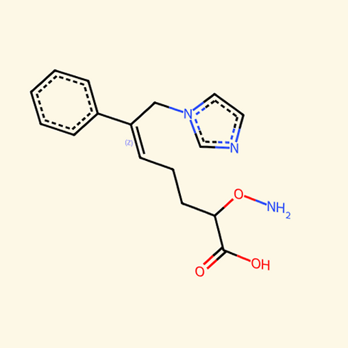 NOC(CC/C=C(\Cn1ccnc1)c1ccccc1)C(=O)O